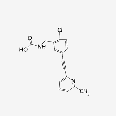 Cc1cccc(C#Cc2ccc(Cl)c(CNC(=O)O)c2)n1